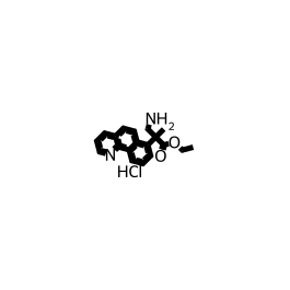 CCOC(=O)C(C)(CN)c1cccc2c1ccc1cccnc12.Cl